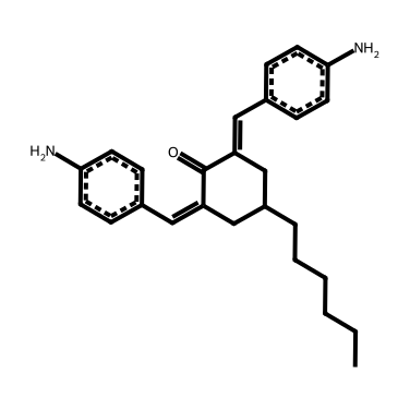 CCCCCCC1C/C(=C/c2ccc(N)cc2)C(=O)/C(=C/c2ccc(N)cc2)C1